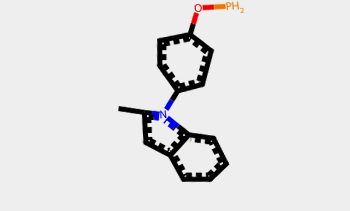 Cc1cc2ccccc2n1-c1ccc(OP)cc1